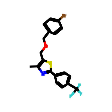 Cc1nc(-c2ccc(C(F)(F)F)cc2)sc1COCc1ccc(Br)cc1